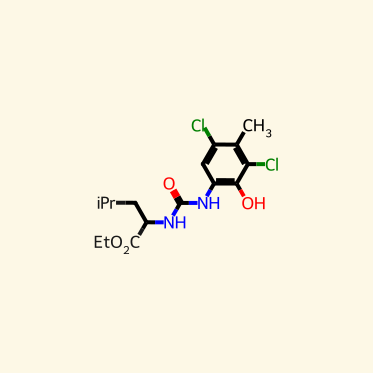 CCOC(=O)C(CC(C)C)NC(=O)Nc1cc(Cl)c(C)c(Cl)c1O